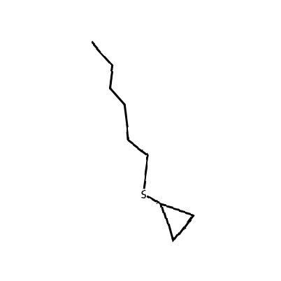 CCCCCCS[C]1CC1